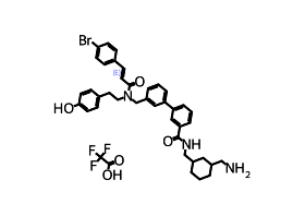 NCC1CCCC(CNC(=O)c2cccc(-c3cccc(CN(CCc4ccc(O)cc4)C(=O)/C=C/c4ccc(Br)cc4)c3)c2)C1.O=C(O)C(F)(F)F